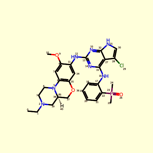 CCN1CCN2c3cc(OC)c(Nc4nc(Nc5ccccc5P(C)(C)=O)c5c(Cl)c[nH]c5n4)cc3OC[C@H]2C1